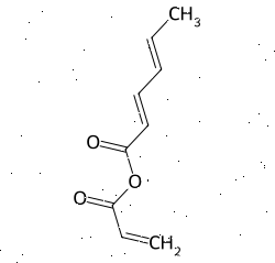 C=CC(=O)OC(=O)C=CC=CC